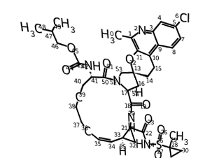 Cc1nc2cc(Cl)ccc2c2c1O[C@]1(CC2)C[C@H]2C(=O)NC3(C(=O)NS(=O)(=O)C4(C)CC4)C[C@H]3/C=C\CCCCC[C@H](NC(=O)OCC(C)C)C(=O)N2C1